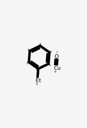 CCc1ccccc1.[O]=[Cu]